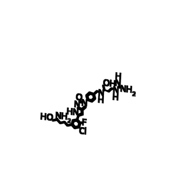 N=C(N)NCC[C@H](CO)NCc1ccc(-n2cc3cc(-c4cc(CCC[C@@H](N)CO)cc(Cl)c4F)[nH]c3nc2=O)cc1